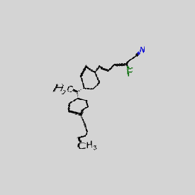 C=C([C@H]1CC[C@H](/C=C/C=C(\F)C#N)CC1)[C@H]1CC[C@H](CCC)CC1